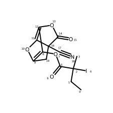 CCC(C)(I)C(=O)Oc1c2oc3c1OC(=O)C3(C#N)C2